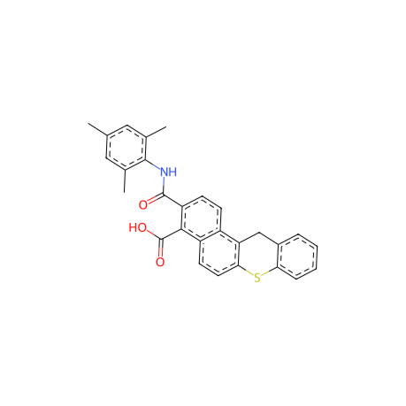 Cc1cc(C)c(NC(=O)c2ccc3c4c(ccc3c2C(=O)O)Sc2ccccc2C4)c(C)c1